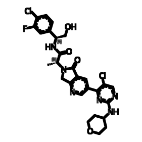 C[C@H](C(=O)N[C@H](CO)c1ccc(Cl)c(F)c1)N1Cc2ncc(-c3nc(NC4CCOCC4)ncc3Cl)cc2C1=O